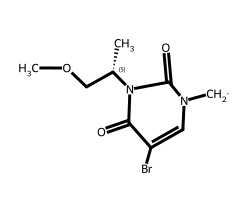 [CH2]n1cc(Br)c(=O)n([C@@H](C)COC)c1=O